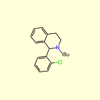 CCC(C)N1CCc2ccccc2C1c1ccccc1Cl